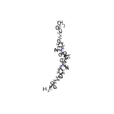 C=CC(=O)OCCCCOc1ccc(/C=C(\C#N)C(=O)Oc2ccc(SC(=O)/C(C#N)=C/c3ccc(OCCCCOC(=O)C=C)cc3)s2)cc1